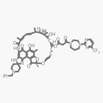 C/C1=C/C=C/C(C)[C@H](O)[C@@H](C)C(O)C[C@H](OC(=O)CC(=O)N2CCCN(c3nccc(C(F)(F)F)n3)CC2)CC/C=C/O[C@@]2(C)Oc3c(C)c(O)c4c(c3C2=O)C2=NC3(CCN(CC(C)C)CC3)NC2=C(NC1=O)C4=O